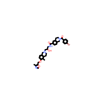 Cc1ncoc1COc1ccc2c(c1C)CCN(CC(O)CNC(=O)c1ccc3c(c1)CCN(C(=O)c1ccc(Br)cc1)C3)C2